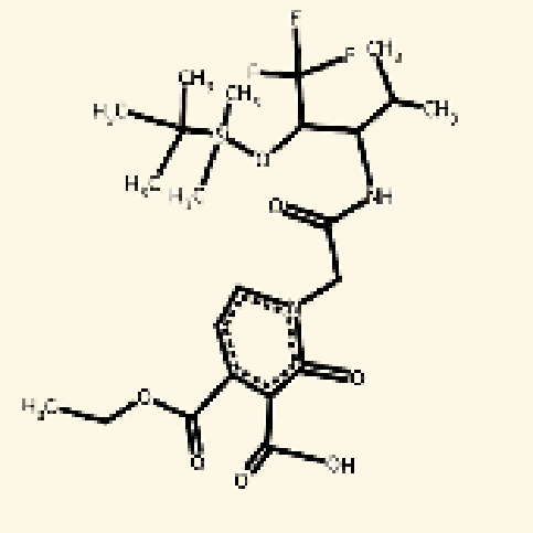 CCOC(=O)c1ccn(CC(=O)NC(C(C)C)C(O[Si](C)(C)C(C)(C)C)C(F)(F)F)c(=O)c1C(=O)O